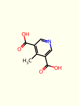 Cc1c(C(=O)O)cncc1C(=O)O